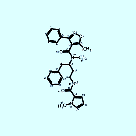 Cc1onc(-c2ccccc2)c1C(=O)N(C)C(CCNC(=O)c1cccn1C)Cc1ccccc1